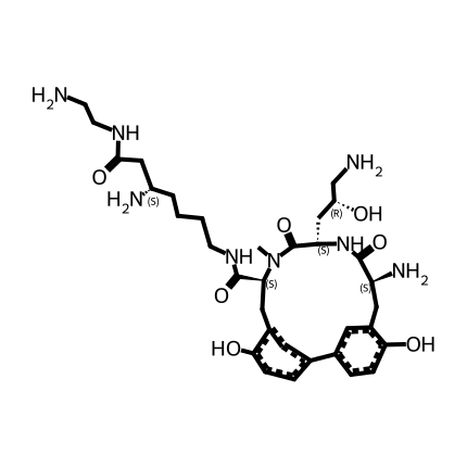 CN1C(=O)[C@H](C[C@@H](O)CN)NC(=O)[C@@H](N)Cc2cc(ccc2O)-c2ccc(O)c(c2)C[C@H]1C(=O)NCCCC[C@H](N)CC(=O)NCCN